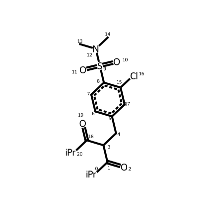 CC(C)C(=O)C(Cc1ccc(S(=O)(=O)N(C)C)c(Cl)c1)C(=O)C(C)C